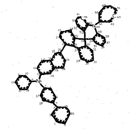 c1ccc(-c2ccc(N(c3ccccc3)c3ccc4cc(-c5cccc6c5-c5ccccc5C65c6ccccc6N(c6ccccc6)c6ccccc65)ccc4c3)cc2)cc1